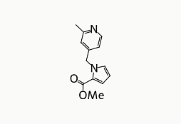 COC(=O)c1cccn1Cc1ccnc(C)c1